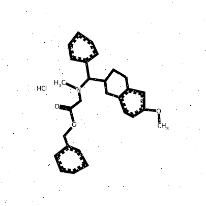 COc1ccc2c(c1)CCC(C(c1ccccc1)N(C)CC(=O)OCc1ccccc1)C2.Cl